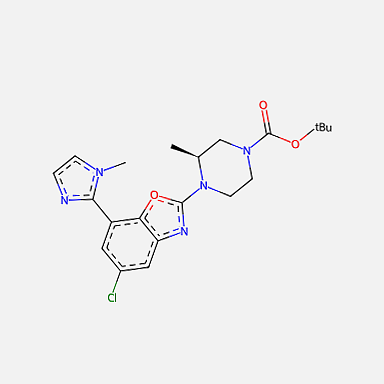 C[C@H]1CN(C(=O)OC(C)(C)C)CCN1c1nc2cc(Cl)cc(-c3nccn3C)c2o1